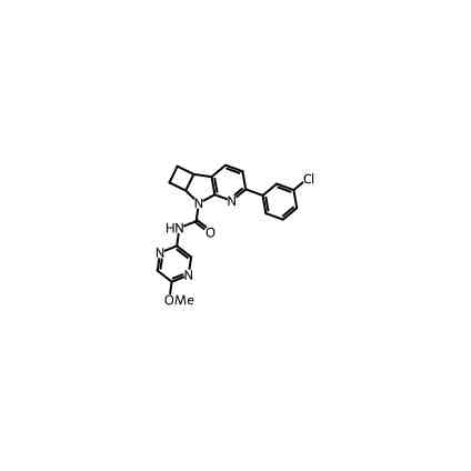 COc1cnc(NC(=O)N2c3nc(-c4cccc(Cl)c4)ccc3C3CCC32)cn1